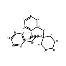 Fc1ccccc1CC1(NCc2ccccc2)CCCCC1